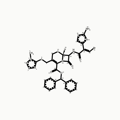 Cn1nnnc1SCC1=C(C(=O)OC(c2ccccc2)c2ccccc2)N2C(=O)C(NC(=O)/C(=C/Br)c3csc(N)n3)[C@H]2SC1